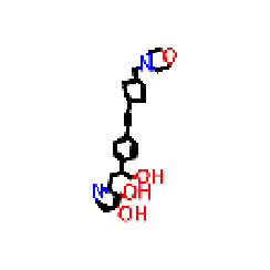 OCC(Cc1nccc(O)c1O)c1ccc(C#Cc2ccc(CN3CCOCC3)cc2)cc1